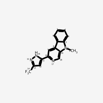 Cn1c2ccccc2c2cc(-c3cc(C(F)(F)F)n[nH]3)ncc21